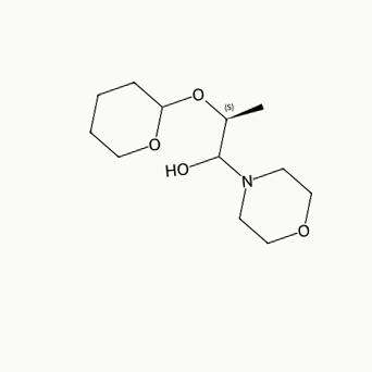 C[C@H](OC1CCCCO1)C(O)N1CCOCC1